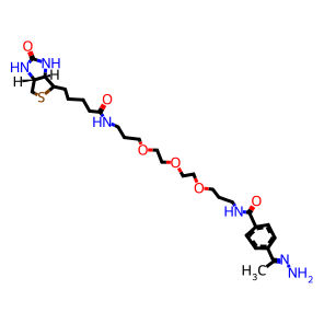 C/C(=N\N)c1ccc(C(=O)NCCCOCCOCCOCCCNC(=O)CCCCC2SC[C@@H]3NC(=O)N[C@H]23)cc1